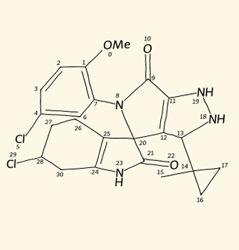 COc1ccc(Cl)cc1N1C(=O)C2=C(C(C3(C)CC3)NN2)C12C(=O)NC1=C2CCC(Cl)C1